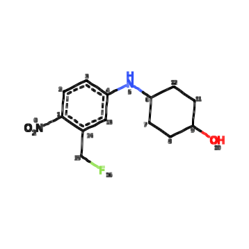 O=[N+]([O-])c1ccc(NC2CCC(O)CC2)cc1CF